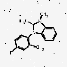 Cc1cc(F)ccc1N1c2ccccc2N(C)[C@@H]1C